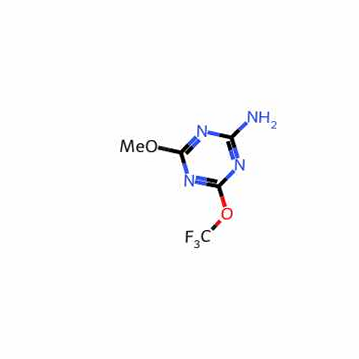 COc1nc(N)nc(OC(F)(F)F)n1